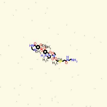 C=C1C[C@@H](C2OCCN2C(=O)OCC(C)(C)SSCCC(=O)NCCN)N(C(=O)c2cc(OC)c(OOc3cc4c(cc3OC)C(=O)NCCCN4C)cc2N)C1